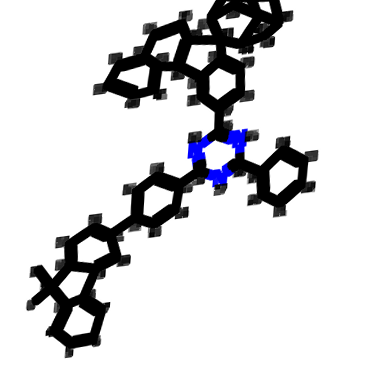 CC1(C)c2ccccc2-c2cc(-c3ccc(-c4nc(-c5ccccc5)nc(-c5ccc6c(c5)-c5c(ccc7ccccc57)C65C6CC7CC(C6)CC5C7)n4)cc3)ccc21